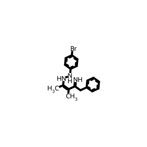 CC(NNc1ccc(Br)cc1)=C(C)C(=N)Cc1ccccc1